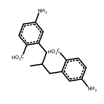 CC(Cc1cc(N)ccc1C(=O)O)Cc1cc(N)ccc1C(=O)O